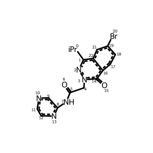 CC(C)c1nn(CC(=O)Nc2cnccn2)c(=O)c2ccc(Br)cc12